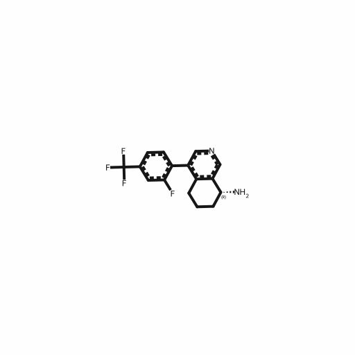 N[C@@H]1CCCc2c(-c3ccc(C(F)(F)F)cc3F)cncc21